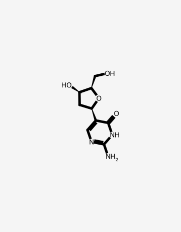 Nc1ncc([C@H]2C[C@@H](O)[C@@H](CO)O2)c(=O)[nH]1